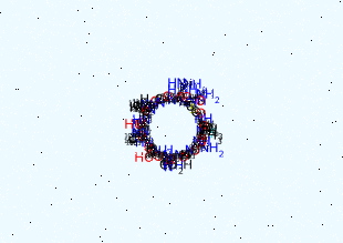 CCCC[C@H]1C(=O)N(C)[C@@H](CCCC)C(=O)N[C@@H](CCCNC(=N)N)C(=O)N[C@H](C(=O)NCC(N)=O)CSCC(=O)N[C@@H](Cc2ccc(F)cc2)C(=O)N(C)[C@@H](C)C(=O)N[C@@H](CC(N)=O)C(=O)N2CCC[C@H]2C(=O)N[C@@H](Cc2cnc[nH]2)C(=O)N[C@@H](CCC(=O)O)C(=O)N2C[C@H](O)C[C@H]2C(=O)N[C@@H](Cc2c[nH]c3ccccc23)C(=O)N[C@@H](CO)C(=O)N[C@@H](Cc2c[nH]c3ccccc23)C(=O)N1C